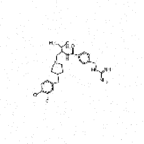 CC(C)C(CN1CCC(Cc2ccc(Cl)c(Cl)c2)CC1)NC(=O)c1ccc(CNC(=N)N)cc1